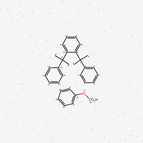 CC(C)(c1ccccc1)c1ccccc1C(C)(C)c1ccccc1.O=C(O)Oc1ccccc1